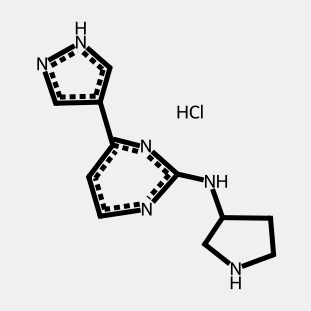 Cl.c1cc(-c2cn[nH]c2)nc(NC2CCNC2)n1